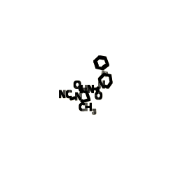 CC1CC(NC(=O)N2CCC[C@@H](c3ccccc3)C2)C(=O)N1CC#N